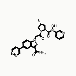 NC(=O)c1nn(CC(=O)N2C[C@H](F)C[C@H]2C(=O)N(O)c2cccnc2)c2ccc(-c3ccnnc3)cc12